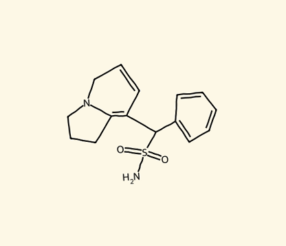 NS(=O)(=O)C(C1=C2CCCN2CC=C1)c1ccccc1